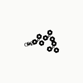 [Cl][Os][Cl].c1ccc(P(c2ccccc2)c2ccccc2)cc1.c1ccc(P(c2ccccc2)c2ccccc2)cc1.c1ccc(P(c2ccccc2)c2ccccc2)cc1